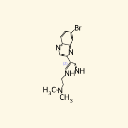 CN(C)CCN/C=C(\C=N)c1cnc2ccc(Br)cc2n1